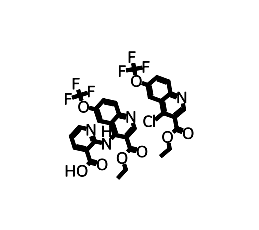 CCOC(=O)c1cnc2ccc(OC(F)(F)F)cc2c1Cl.CCOC(=O)c1cnc2ccc(OC(F)(F)F)cc2c1Nc1ncccc1C(=O)O